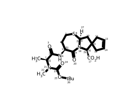 C[C@@H](C(=O)N[C@H]1CCS[C@H]2CC3(CC=CC3)[C@@H](C(=O)O)N2C1=O)N(C)C(=O)OC(C)(C)C